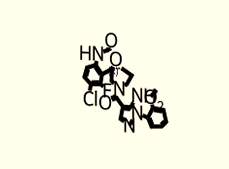 COc1ccccc1-n1ncc(C(=O)N2CCC[C@@]3(C2)OC(=O)Nc2ccc(Cl)c(F)c23)c1N